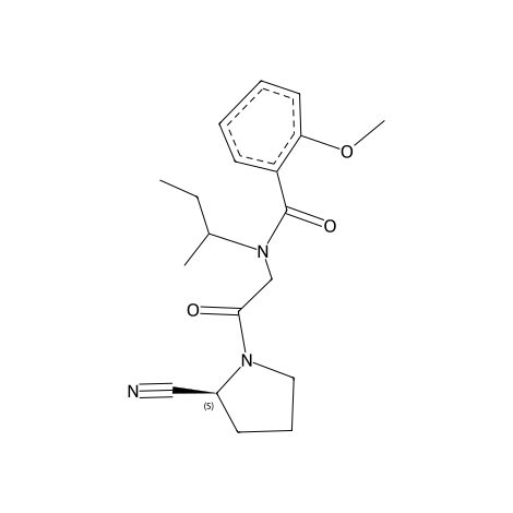 CCC(C)N(CC(=O)N1CCC[C@H]1C#N)C(=O)c1ccccc1OC